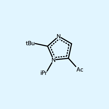 CC(=O)c1cnc(C(C)(C)C)n1C(C)C